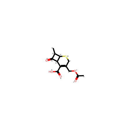 CC(=O)OCC1=C(C(=O)O)C2C(=O)C(C)C2SC1